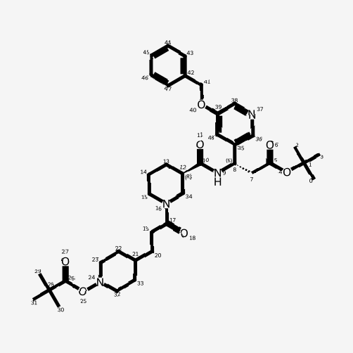 CC(C)(C)OC(=O)C[C@H](NC(=O)[C@@H]1CCCN(C(=O)CCC2CCN(OC(=O)C(C)(C)C)CC2)C1)c1cncc(OCc2ccccc2)c1